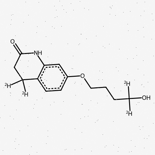 [2H]C([2H])(O)CCCOc1ccc2c(c1)NC(=O)CC2([2H])[2H]